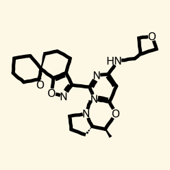 C[C@H](Oc1cc(NCC2COC2)nc(-c2noc3c2CCC[C@@]32CCCCC2=O)n1)[C@@H]1CCCN1C